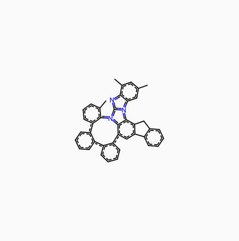 Cc1cc(C)c2nc3n(c2c1)c1c2c(cc4c5ccccc5c5ccccc5c5cccc(C)c5n3c41)-c1ccccc1C2